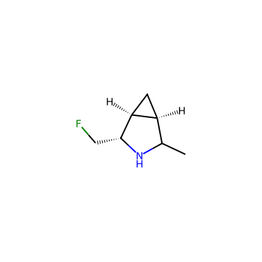 CC1N[C@H](CF)[C@H]2C[C@@H]12